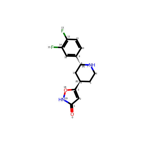 O=c1cc([C@@H]2CCN[C@@H](c3ccc(F)c(F)c3)C2)o[nH]1